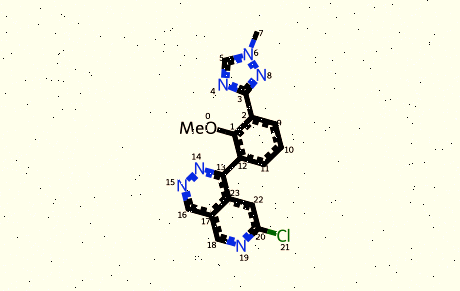 COc1c(-c2ncn(C)n2)cccc1-c1nncc2cnc(Cl)cc12